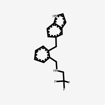 FC(F)(F)CNCc1ccccc1Cc1ccc2[nH]ccc2c1